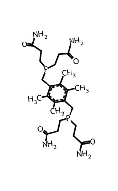 Cc1c(C)c(CP(CCC(N)=O)CCC(N)=O)c(C)c(C)c1CP(CCC(N)=O)CCC(N)=O